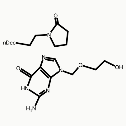 CCCCCCCCCCCCN1CCCC1=O.Nc1nc2c(ncn2COCCO)c(=O)[nH]1